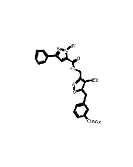 CCC1C(CNC(=O)c2cc(-c3ccccc3)nn2C(C)C)=NOC1Cc1cccc(OC)c1